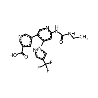 CCNC(=O)Nc1cc(-n2cc(C(F)(F)F)cn2)c(-c2cncc(C(=O)O)c2)cn1